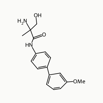 COc1cccc(-c2ccc(NC(=O)C(C)(N)CO)cc2)c1